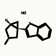 CN1C[C@H]2C[C@@]2(c2cc3ccccc3s2)C1.Cl